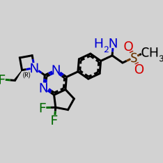 CS(=O)(=O)CC(N)c1ccc(-c2nc(N3CC[C@@H]3CF)nc3c2CCC3(F)F)cc1